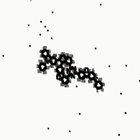 c1ccc(-c2ccc3oc4cc(-c5nc(-c6ccccc6)nc(-c6cccc7oc8ccc(-c9ccccc9-c9ccc%10c(c9)c9ccccc9n%10-c9ccccc9)cc8c67)n5)ccc4c3c2)cc1